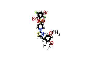 COc1cc(Cc2csc(N3CCC(S(=O)(=O)c4c(F)c(Br)cc(F)c4Br)CC3)n2)cc(OC)c1